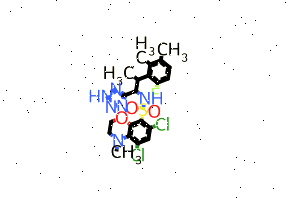 Cc1ccc(F)c(C(C)C(NS(=O)(=O)c2c(Cl)cc(Cl)c3c2OCCN3C)c2nn[nH]n2)c1C